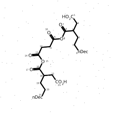 CCCCCCCCCCCCC(CC(=O)O)C(=O)OC(=O)CCC(=O)OC(=O)C(CCCCCCCCCCCC)CC(=O)O